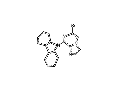 Brc1cn2ccnc2c(-n2c3ccccc3c3ccccc32)n1